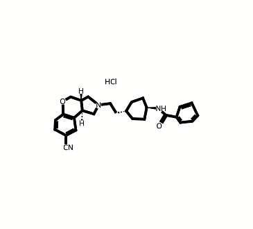 Cl.N#Cc1ccc2c(c1)[C@@H]1CN(CC[C@H]3CC[C@H](NC(=O)c4ccccc4)CC3)C[C@H]1CO2